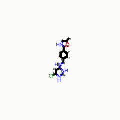 CC1CNC(c2ccc(CNC3CC(Cl)NCN3)cc2)O1